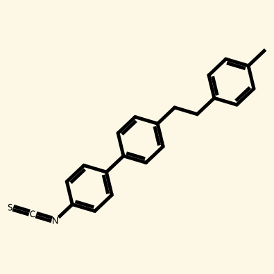 Cc1ccc(CCc2ccc(-c3ccc(N=C=S)cc3)cc2)cc1